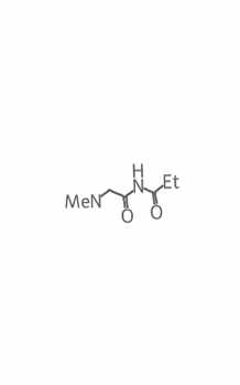 CCC(=O)NC(=O)CNC